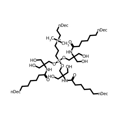 CCCCCCCCCCCCCCCC(=O)NC(CO)(CO)CO[Si](CCC[N+](C)(C)CCCCCCCCCCCC)(OCC(CO)(CO)NC(=O)CCCCCCCCCCCCCCC)OCC(CO)(CO)NC(=O)CCCCCCCCCCCCCCC